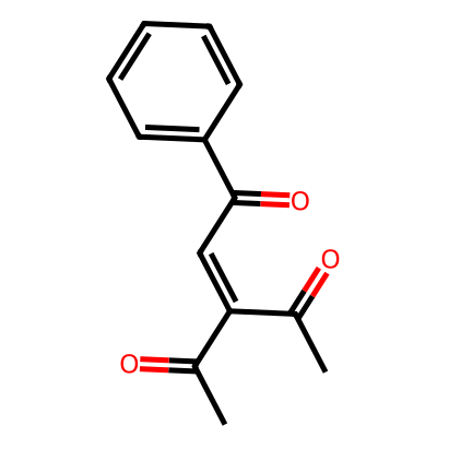 CC(=O)C(=CC(=O)c1ccccc1)C(C)=O